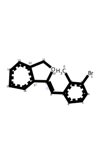 Cc1c(Br)cccc1/C=C1\OCc2ccccc21